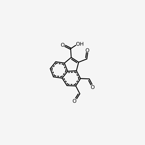 O=CC1=C(C(=O)O)c2cccc3cc(C=O)c(C=O)c1c23